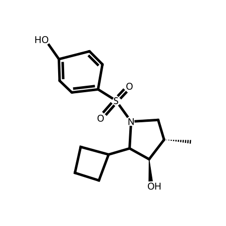 C[C@H]1CN(S(=O)(=O)c2ccc(O)cc2)C(C2CCC2)[C@@H]1O